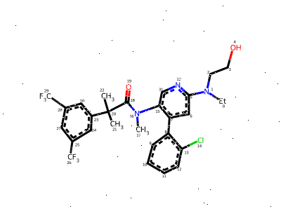 CCN(CCO)c1cc(-c2ccccc2Cl)c(N(C)C(=O)C(C)(C)c2cc(C(F)(F)F)cc(C(F)(F)F)c2)cn1